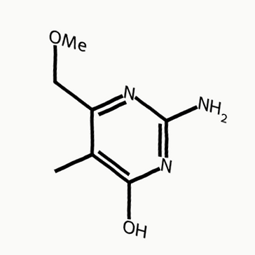 COCc1nc(N)nc(O)c1C